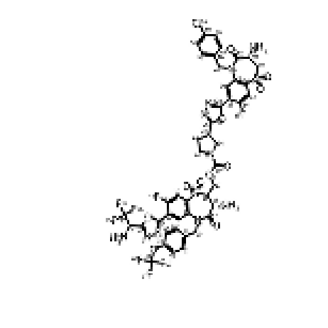 NC(c1nnc(-c2cc3c(cc2F)S(=O)(=O)C(COC(=O)N2CCC(c4nnc(-c5cc6c(cc5F)S(=O)(=O)C[C@H](N)C(=O)N6Cc5ccc(Cl)cc5)o4)C2)[C@H](N)C(=O)N3Cc2ccc(OC(F)(F)F)cc2)o1)C(F)(F)F